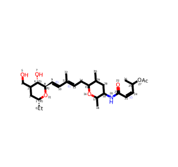 CC[C@@H]1CC(CO)[C@H](O)[C@@H](/C=C/C(C)=C/CC2OC(C)C(NC(=O)/C=C\C(C)OC(C)=O)CC2C)O1